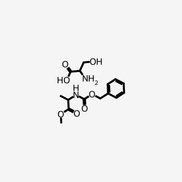 COC(=O)C(C)NC(=O)OCc1ccccc1.NC(CO)C(=O)O